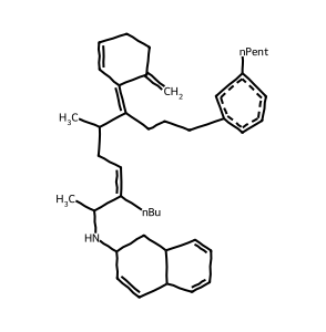 C=C1CCC=C/C1=C(/CCCc1cccc(CCCCC)c1)C(C)C/C=C(/CCCC)C(C)NC1C=CC2C=CC=CC2C1